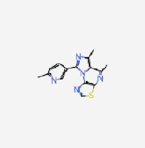 Cc1ccc(-c2nc(C)c3c(C)nc4scnc4n23)cn1